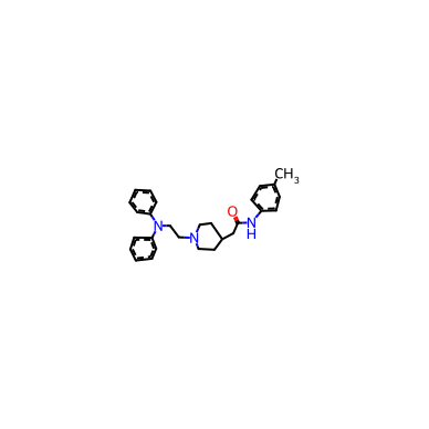 Cc1ccc(NC(=O)CC2CCN(CCN(c3ccccc3)c3ccccc3)CC2)cc1